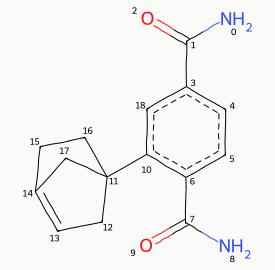 NC(=O)c1ccc(C(N)=O)c(C23CC=C(CC2)C3)c1